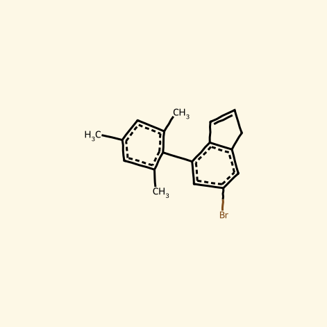 Cc1cc(C)c(-c2cc(Br)cc3c2C=CC3)c(C)c1